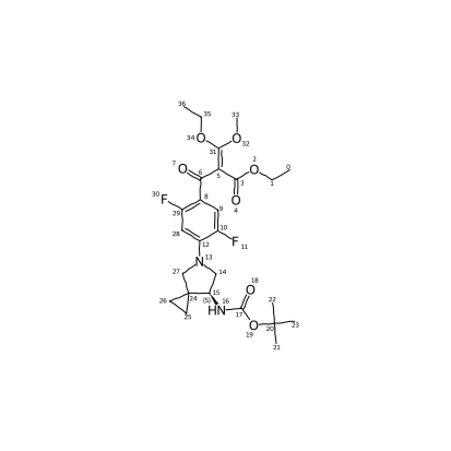 CCOC(=O)C(C(=O)c1cc(F)c(N2C[C@@H](NC(=O)OC(C)(C)C)C3(CC3)C2)cc1F)=C(OC)OCC